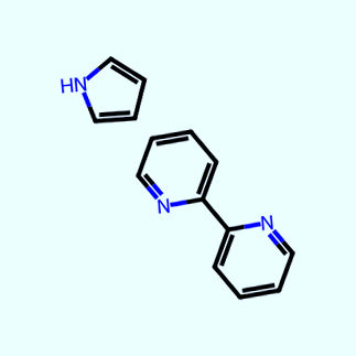 c1cc[nH]c1.c1ccc(-c2ccccn2)nc1